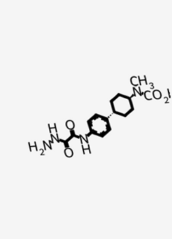 CN(C(=O)O)[C@H]1CC[C@H](c2ccc(NC(=O)C(=O)NN)cc2)CC1